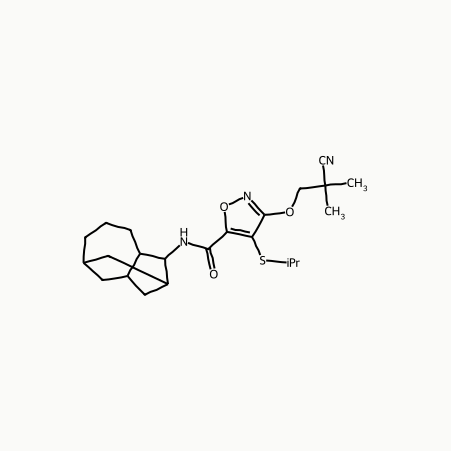 CC(C)Sc1c(OCC(C)(C)C#N)noc1C(=O)NC1C2CC3CCCC1C(C3)C2